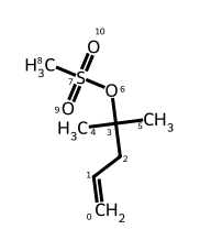 C=CCC(C)(C)OS(C)(=O)=O